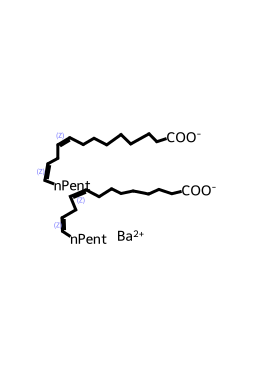 CCCCC/C=C\C/C=C\CCCCCCCC(=O)[O-].CCCCC/C=C\C/C=C\CCCCCCCC(=O)[O-].[Ba+2]